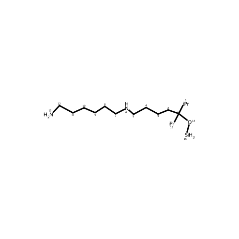 CC(C)C(CCCCNCCCCCCN)(O[SiH3])C(C)C